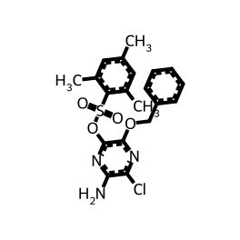 Cc1cc(C)c(S(=O)(=O)Oc2nc(N)c(Cl)nc2OCc2ccccc2)c(C)c1